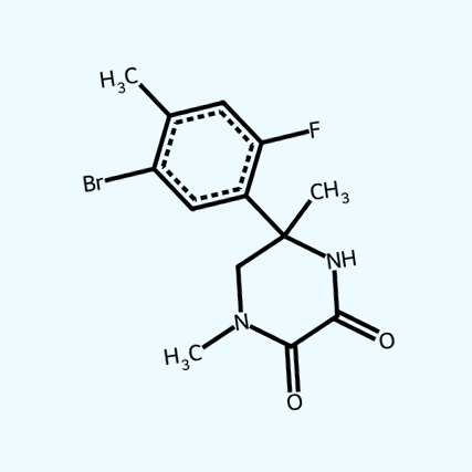 Cc1cc(F)c(C2(C)CN(C)C(=O)C(=O)N2)cc1Br